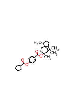 CC1CCC2C(C)(C)C3CC12CCC3(C)OC(=O)c1ccc(OC(=O)C2CCCC2)cc1